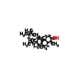 C=C(CC[C@@H](C)C1CC[C@@]2(C)C3=C(CC[C@]12C)[C@@]1(C)CC[C@H](O)[C@@H](C)C1CC3)C(C)C